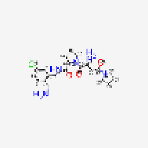 NCc1ccc(Cl)cc1CNC(=O)[C@@H]1CCCN1C(=O)[C@H](N)CC(=O)N1CCCC1